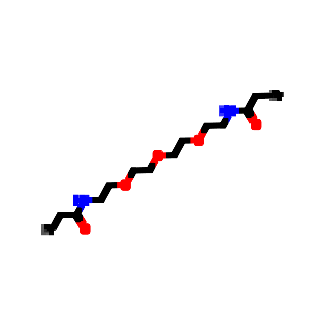 CC(C)CC(=O)NCCOCCOCCOCCNC(=O)CC(C)C